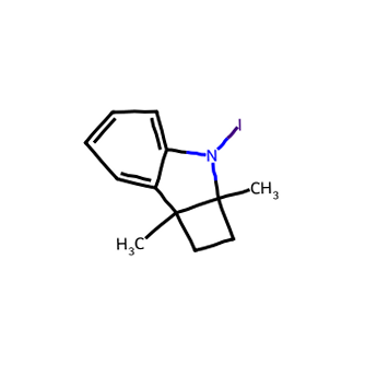 CC12CCC1(C)N(I)c1ccccc12